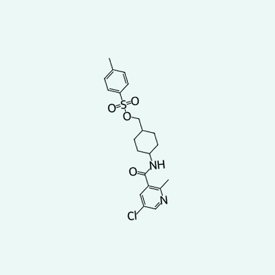 Cc1ccc(S(=O)(=O)OCC2CCC(NC(=O)c3cc(Cl)cnc3C)CC2)cc1